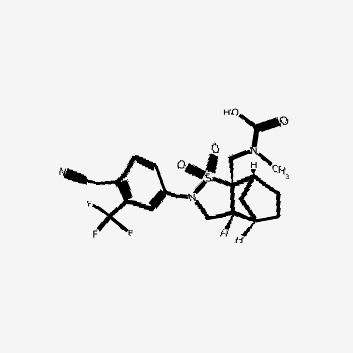 CN(C[C@@]12[C@@H]3CC[C@@H](C3)[C@@H]1CN(c1ccc(C#N)c(C(F)(F)F)c1)S2(=O)=O)C(=O)O